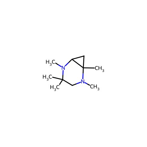 CN1C2CC2(C)N(C)CC1(C)C